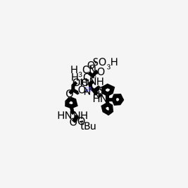 CC(C)(C)OC(=O)NC(=N)c1ccc(OC(CO)CO/N=C(\C(=O)N[C@@H]2C(=O)N(OS(=O)(=O)O)C2(C)C)c2csc(NC(c3ccccc3)(c3ccccc3)c3ccccc3)n2)cc1